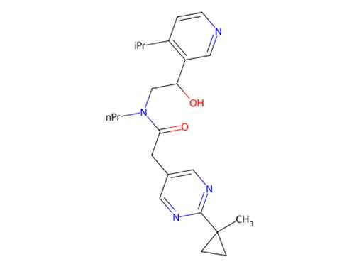 CCCN(CC(O)c1cnccc1C(C)C)C(=O)Cc1cnc(C2(C)CC2)nc1